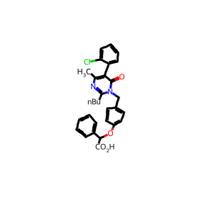 CCCCc1nc(C)c(-c2ccccc2Cl)c(=O)n1Cc1ccc(OC(C(=O)O)c2ccccc2)cc1